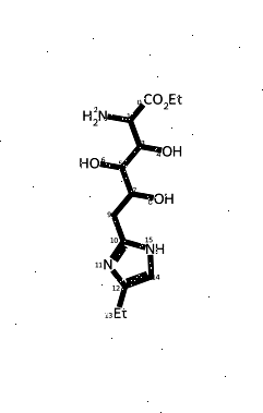 CCOC(=O)C(N)C(O)C(O)C(O)Cc1nc(CC)c[nH]1